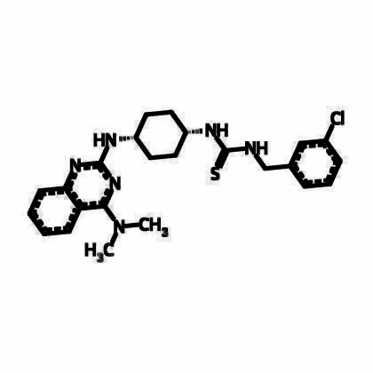 CN(C)c1nc(N[C@H]2CC[C@@H](NC(=S)NCc3cccc(Cl)c3)CC2)nc2ccccc12